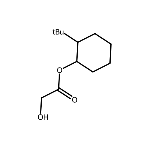 CC(C)(C)C1CCCCC1OC(=O)CO